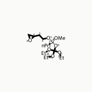 CCC[Si](OC)(OCCC1CO1)OC(OCC)(OCC)OCC